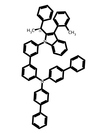 Cc1ccccc1-c1c([C@@H](C)c2ccccc2)n(-c2cccc(-c3cccc(N(c4ccc(-c5ccccc5)cc4)c4ccc(-c5ccccc5)cc4)c3)c2)c2ccccc12